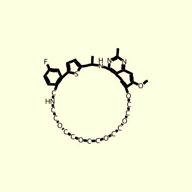 COc1cc2nc(C)nc3c2cc1OCCOCCOCCOCCOCCNCc1ccc(F)cc1-c1ccc(s1)C(C)N3